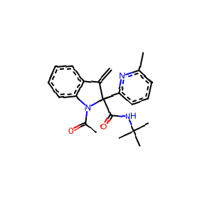 C=C1c2ccccc2N(C(C)=O)C1(C(=O)NC(C)(C)C)c1cccc(C)n1